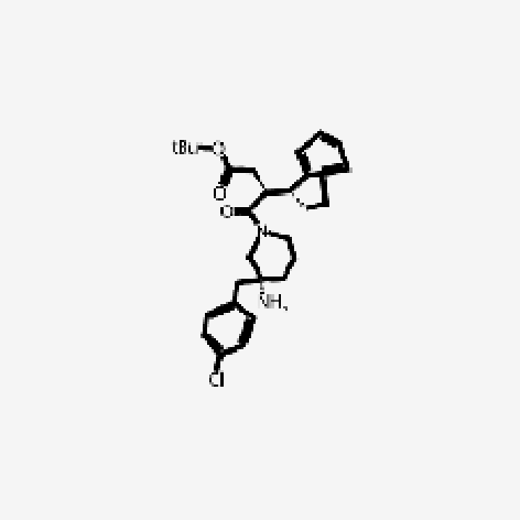 CC(C)(C)OC(=O)C[C@H](C(=O)N1CCC[C@@](N)(Cc2ccc(Cl)cc2)C1)[C@H]1CCc2ccccc21